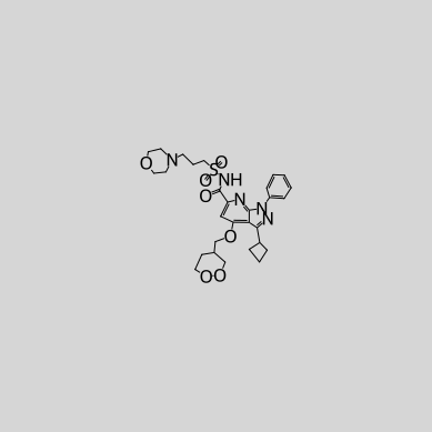 O=C(NS(=O)(=O)CCCN1CCOCC1)c1cc(OCC2CCOOC2)c2c(C3CCC3)nn(-c3ccccc3)c2n1